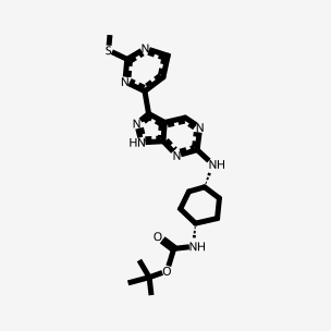 CSc1nccc(-c2n[nH]c3nc(N[C@H]4CC[C@@H](NC(=O)OC(C)(C)C)CC4)ncc23)n1